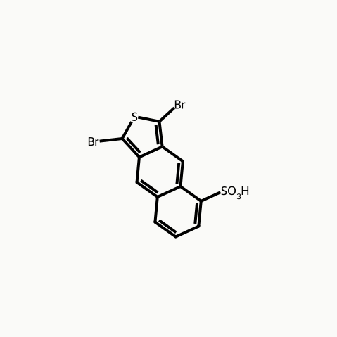 O=S(=O)(O)c1cccc2cc3c(Br)sc(Br)c3cc12